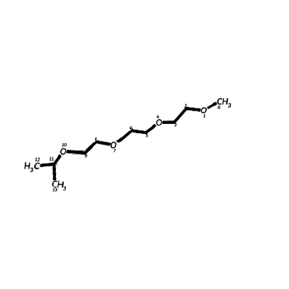 COCCOCCOCCO[C](C)C